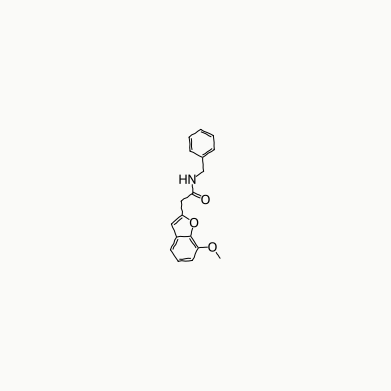 COc1cccc2cc(CC(=O)NCc3ccccc3)oc12